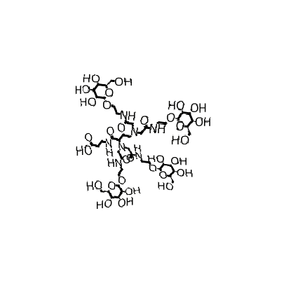 O=C(O)CCNC(=O)C(CCN(CC(=O)NCCO[C@H]1O[C@H](CO)[C@@H](O)[C@H](O)[C@@H]1O)CC(=O)NCCO[C@H]1O[C@H](CO)[C@@H](O)[C@H](O)[C@@H]1O)N(CC(=O)NCCO[C@H]1O[C@H](CO)[C@@H](O)[C@H](O)[C@@H]1O)CC(=O)NCCO[C@H]1O[C@H](CO)[C@@H](O)[C@H](O)[C@@H]1O